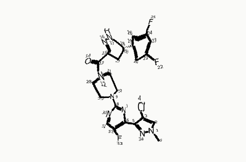 Cn1cc(Cl)c(-c2nc(N3CCN(C(=O)C4=NN[C@H](c5cc(F)cc(F)c5)C4)CC3)ncc2F)n1